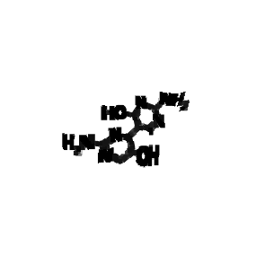 Nc1n[c]c(-c2nc(N)ncc2O)c(O)n1